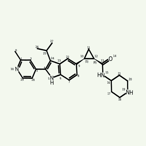 Cc1cc(-c2[nH]c3ccc([C@H]4C[C@H]4C(=O)NC4CCNCC4)cc3c2C(C)C)ccn1